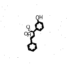 O=[SH](=O)C(C=Cc1ccccc1)c1cccc(O)c1